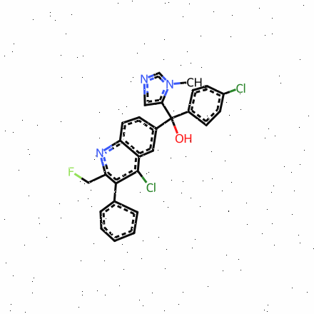 Cn1cncc1C(O)(c1ccc(Cl)cc1)c1ccc2nc(CF)c(-c3ccccc3)c(Cl)c2c1